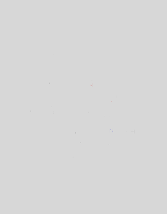 Cn1c(=O)c2c(O)c(Sc3ccccc3)c(=O)oc2c2ccccc21